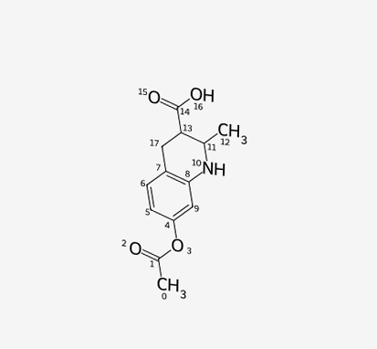 CC(=O)Oc1ccc2c(c1)NC(C)C(C(=O)O)C2